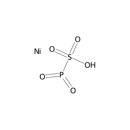 O=P(=O)S(=O)(=O)O.[Ni]